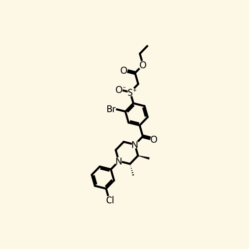 CCOC(=O)C[S+]([O-])c1ccc(C(=O)N2CCN(c3cccc(Cl)c3)[C@@H](C)[C@@H]2C)cc1Br